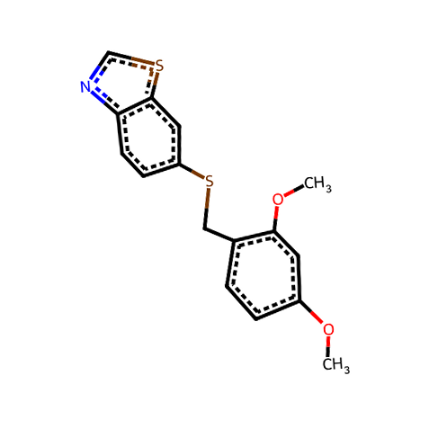 COc1ccc(CSc2ccc3ncsc3c2)c(OC)c1